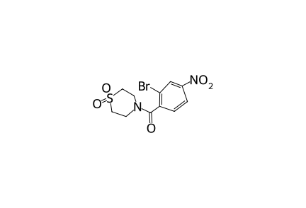 O=C(c1ccc([N+](=O)[O-])cc1Br)N1CCS(=O)(=O)CC1